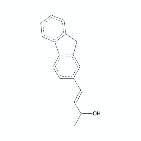 CC(O)C=Cc1ccc2c(c1)Cc1ccccc1-2